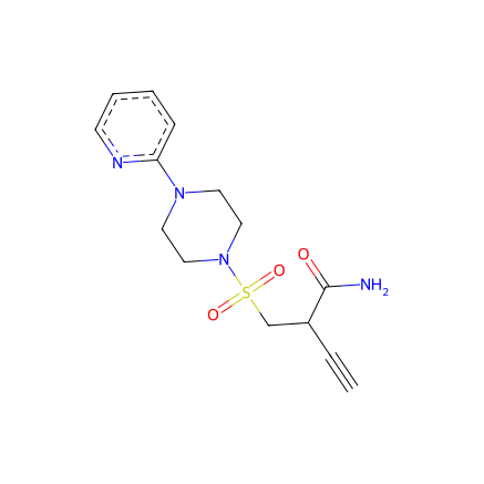 C#CC(CS(=O)(=O)N1CCN(c2ccccn2)CC1)C(N)=O